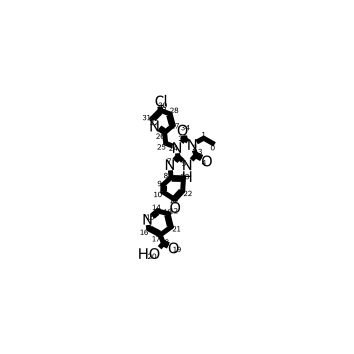 CCn1c(=O)[nH]/c(=N\c2ccc(Oc3cncc(C(=O)O)c3)cc2)n(Cc2ccc(Cl)cn2)c1=O